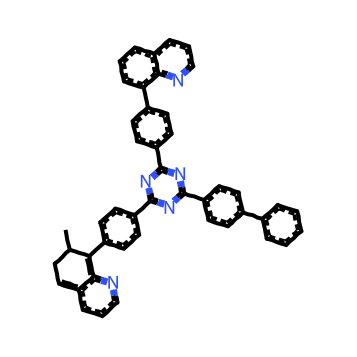 CC1CC=c2cccnc2=C1c1ccc(-c2nc(-c3ccc(-c4ccccc4)cc3)nc(-c3ccc(-c4cccc5cccnc45)cc3)n2)cc1